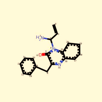 C=CC(N)n1c(=O)c(Cc2ccccc2)nc2ccccc21